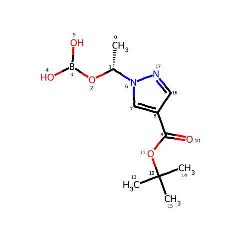 C[C@@H](OB(O)O)n1cc(C(=O)OC(C)(C)C)cn1